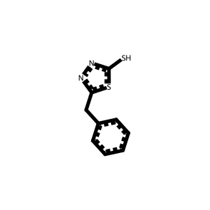 Sc1nnc(Cc2ccccc2)s1